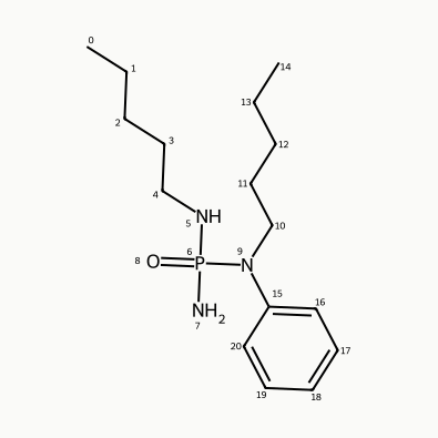 CCCCCNP(N)(=O)N(CCCCC)c1ccccc1